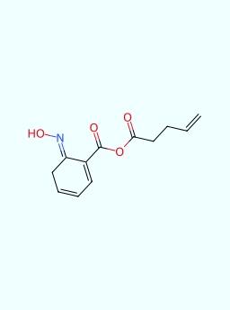 C=CCCC(=O)OC(=O)C1=CC=CCC1=NO